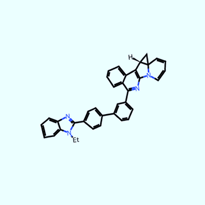 CCn1c(-c2ccc(-c3cccc(-c4nc5c(c6ccccc46)[C@@H]4CC46C=CC=CN56)c3)cc2)nc2ccccc21